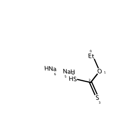 CCOC(=S)S.[NaH].[NaH]